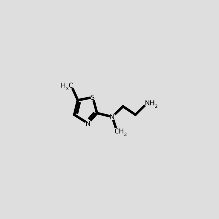 Cc1cnc(N(C)CCN)s1